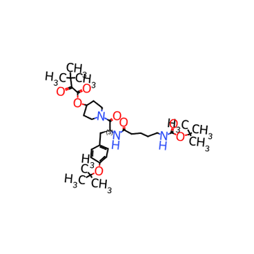 CC(C)(C)OC(=O)NCCCCC(=O)N[C@@H](Cc1ccc(OC(C)(C)C)cc1)C(=O)N1CCC(OC(=O)C(=O)C(C)(C)C)CC1